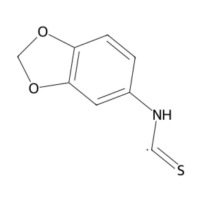 S=[C]Nc1ccc2c(c1)OCO2